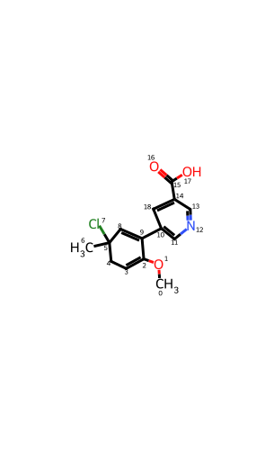 COC1=CCC(C)(Cl)C=C1c1cncc(C(=O)O)c1